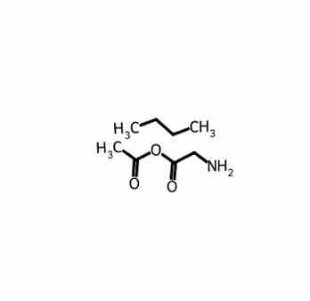 CC(=O)OC(=O)CN.CCCC